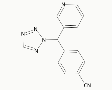 N#Cc1ccc(C(c2cccnc2)n2ncnn2)cc1